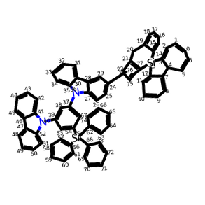 C1=CC=C2C(C=C1)c1ccccc1[Si]21c2ccccc2Cc2cc(-c3ccc4c(c3)c3ccccc3n4-c3cc(-n4c5ccccc5c5ccccc54)cc([Si](c4ccccc4)(c4ccccc4)c4ccccc4)c3)ccc21